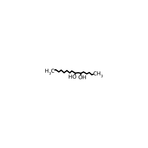 CCCCCCCCC(O)CC(O)CCCCC